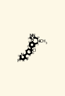 CN1Cc2cc(C3(Cl)CCC(c4ncc(F)cc4F)CC3)ccc2-n2cnnc2C1